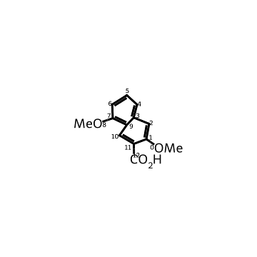 COc1cc2cccc(OC)c2cc1C(=O)O